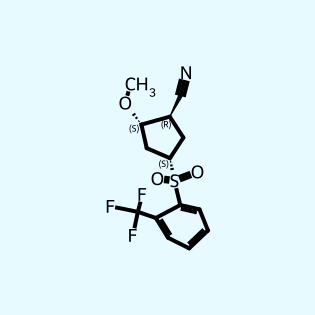 CO[C@H]1C[C@@H](S(=O)(=O)c2ccccc2C(F)(F)F)C[C@@H]1C#N